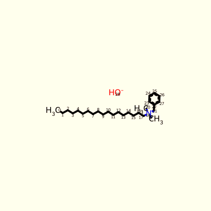 CCCCCCCCCCCCCCCCCC[N+](C)(C)Cc1ccccc1.[OH-]